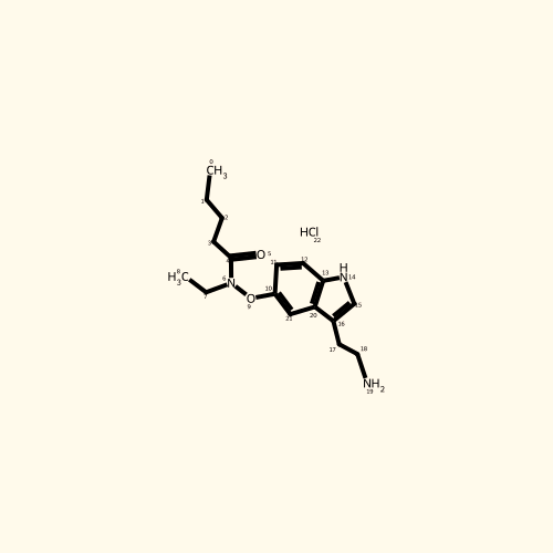 CCCCC(=O)N(CC)Oc1ccc2[nH]cc(CCN)c2c1.Cl